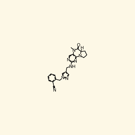 CN1C(=O)[C@@H]2CCCN2c2nc(NCc3cnn(Cc4ccccc4C#N)c3)ncc21